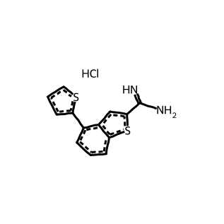 Cl.N=C(N)c1cc2c(-c3cccs3)cccc2s1